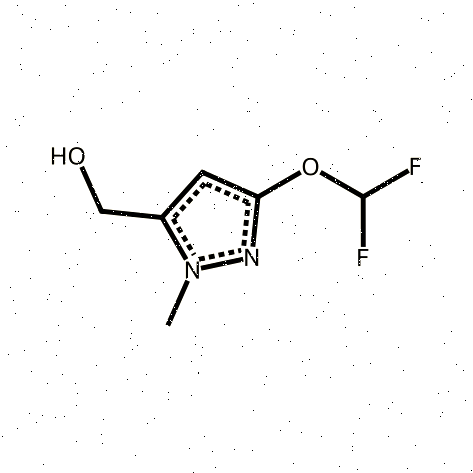 Cn1nc(OC(F)F)cc1CO